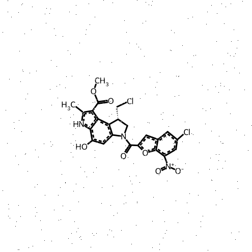 COC(=O)c1c(C)[nH]c2c(O)cc3c(c12)[C@H](CCl)CN3C(=O)c1cc2cc(Cl)cc([N+](=O)[O-])c2o1